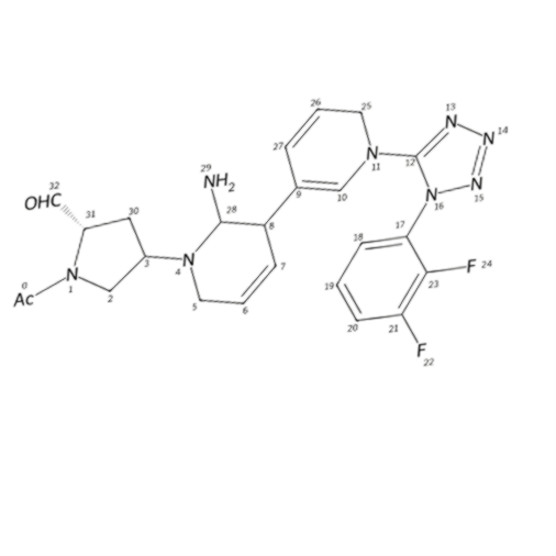 CC(=O)N1CC(N2CC=CC(C3=CN(c4nnnn4-c4cccc(F)c4F)CC=C3)C2N)C[C@H]1C=O